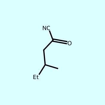 CCC(C)CC(=O)C#N